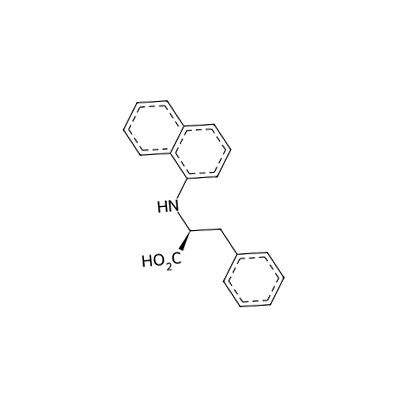 O=C(O)[C@H](Cc1ccccc1)Nc1cccc2ccccc12